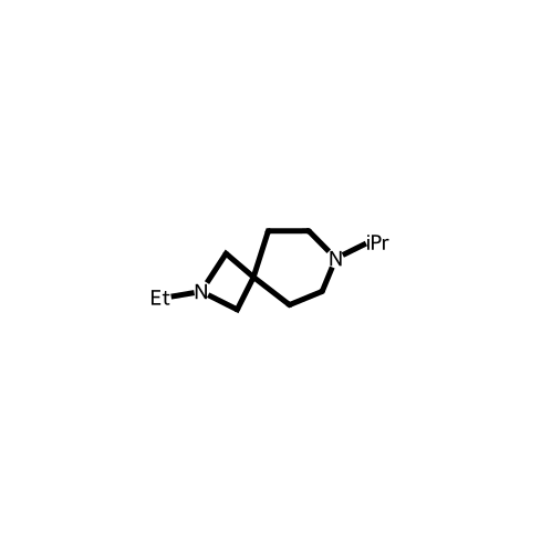 CCN1CC2(CCN(C(C)C)CC2)C1